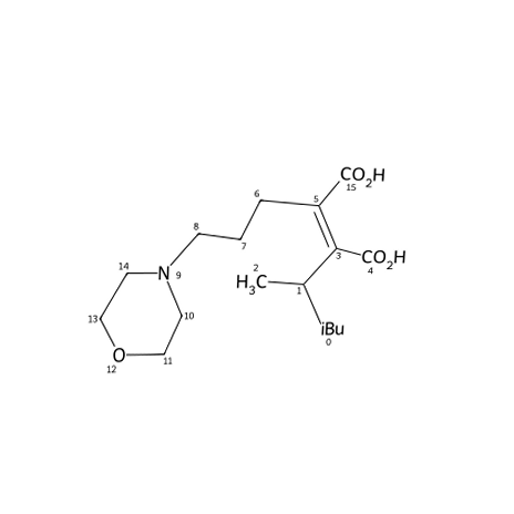 CCC(C)C(C)C(C(=O)O)=C(CCCN1CCOCC1)C(=O)O